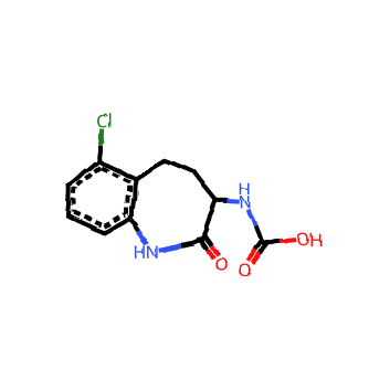 O=C(O)NC1CCc2c(Cl)cccc2NC1=O